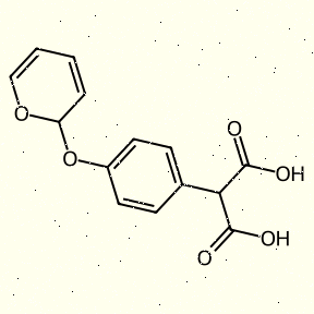 O=C(O)C(C(=O)O)c1ccc(OC2C=CC=CO2)cc1